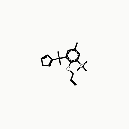 C=CCOc1c(C(C)(C)C2=CCC=C2)cc(C)cc1[Si](C)(C)C